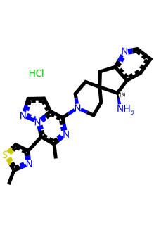 Cc1nc(-c2c(C)nc(N3CCC4(CC3)Cc3ncccc3[C@H]4N)c3ccnn23)cs1.Cl